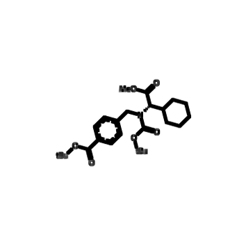 COC(=O)[C@H](C1CCCCC1)N(Cc1ccc(C(=O)OC(C)(C)C)cc1)C(=O)OC(C)(C)C